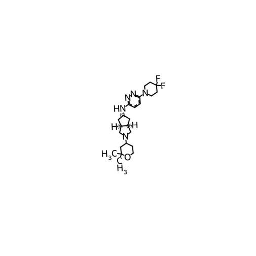 CC1(C)CC(N2C[C@H]3C[C@H](Nc4ccc(N5CCC(F)(F)CC5)nn4)C[C@H]3C2)CCO1